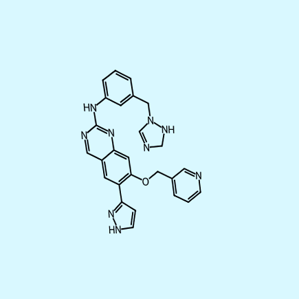 C1=NCNN1Cc1cccc(Nc2ncc3cc(-c4cc[nH]n4)c(OCc4cccnc4)cc3n2)c1